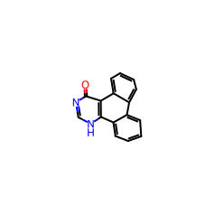 O=c1nc[nH]c2c3ccccc3c3ccccc3c12